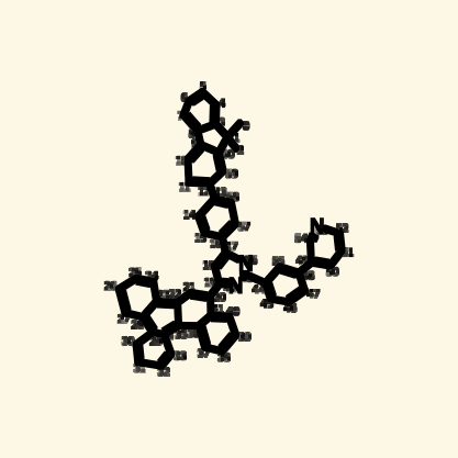 CC1(C)c2ccccc2-c2ccc(-c3ccc(-c4cc(-c5cc6c7ccccc7c7ccccc7c6c6ccccc56)nc(-c5cccc(-c6cccnc6)c5)n4)cc3)cc21